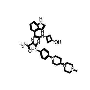 CN1CCN(C2CCN(c3ccc(Nc4nc(N[C@H]5C[C@H](O)C5)c(-c5cccc6[nH]ccc56)nc4C(N)=O)cc3)CC2)CC1